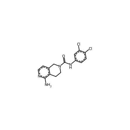 Nc1nccc2c1CCN(C(=O)Nc1ccc(Cl)c(Cl)c1)C2